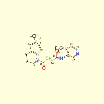 Cc1ccc2c(c1)CCCN2C(=O)SCC(=O)Nc1cnccc1C(F)(F)F